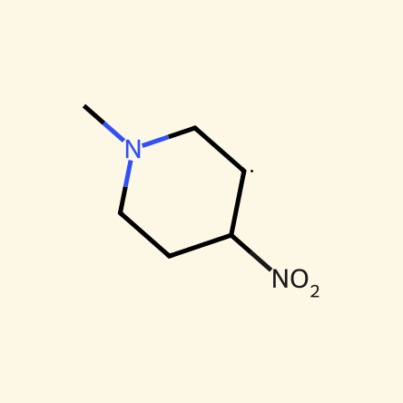 CN1C[CH]C([N+](=O)[O-])CC1